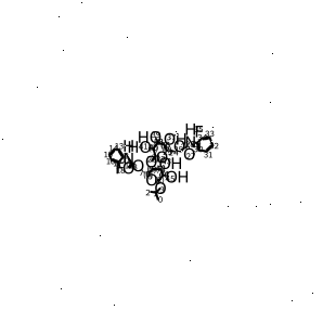 CC(C)O[C@@H]1O[C@H](COC(=O)Nc2ccccc2F)[C@@H](OC2O[C@H](COC(=O)Nc3ccccc3F)[C@@H](O)[C@H](O)[C@H]2O)[C@H](O)[C@H]1O